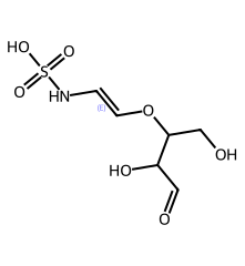 O=CC(O)C(CO)O/C=C/NS(=O)(=O)O